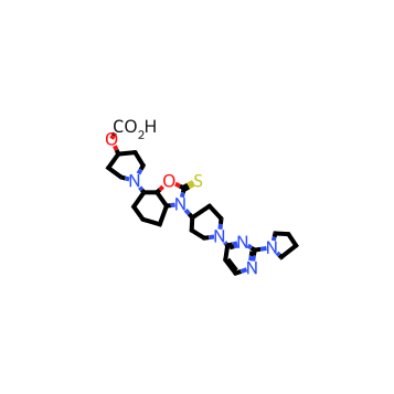 O=C(O)OC1CCN(C2CCCC3C2OC(=S)N3C2CCN(c3ccnc(N4CCCC4)n3)CC2)CC1